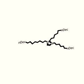 CCCCCCCCCCCCCCCCCC[n+]1ccn(CCCCCCCCCCCCCCCC)c1CCCCCCCCCCCCCCC